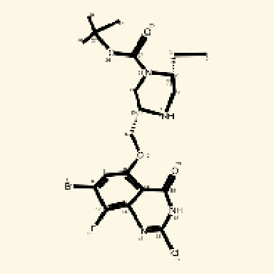 CC[C@@H]1CN[C@H](COc2cc(Br)c(F)c3nc(Cl)[nH]c(=O)c23)CN1C(=O)OC(C)(C)C